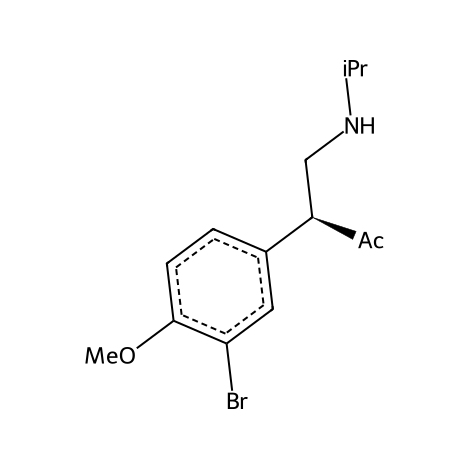 COc1ccc([C@@H](CNC(C)C)C(C)=O)cc1Br